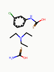 CCN(CC)CC.NC(O)=S.OC(=S)Nc1cccc(Cl)c1